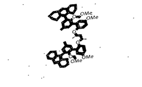 COCOc1c(-c2cc(OC)ccc2O[C@@H](C)C[C@H](C)Oc2ccc(OC)cc2-c2cc(C)cc(-c3c4c(cc5c3CCCC5)CCCC4)c2OCOC)cc(C)cc1-c1c2c(cc3c1CCCC3)CCCC2